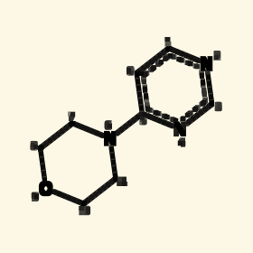 [c]1cncnc1N1CCOCC1